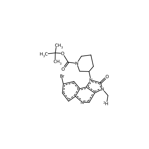 [2H]Cn1c(=O)n(C2CCCN(C(=O)OC(C)(C)C)C2)c2c3cc(Br)ccc3ncc21